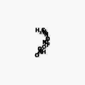 CN1CCN(CCOc2cnc(-c3ccc(CC(=O)NCc4ccccc4)cc3)c(F)c2)CC1